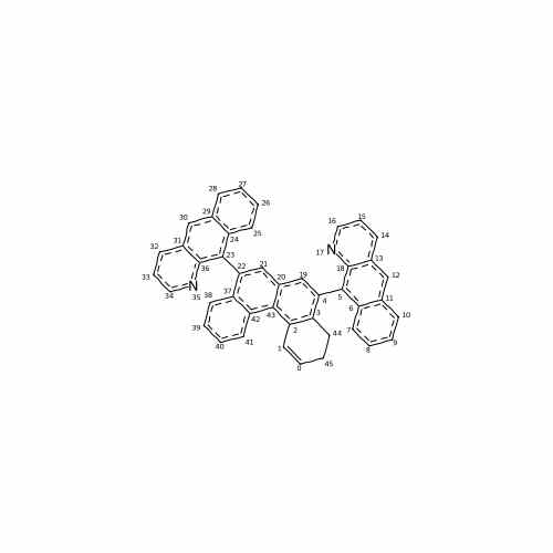 C1=Cc2c(c(-c3c4ccccc4cc4cccnc34)cc3cc(-c4c5ccccc5cc5cccnc45)c4ccccc4c23)CC1